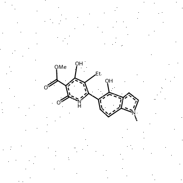 CCc1c(-c2ccc3c(ccn3C)c2O)[nH]c(=O)c(C(=O)OC)c1O